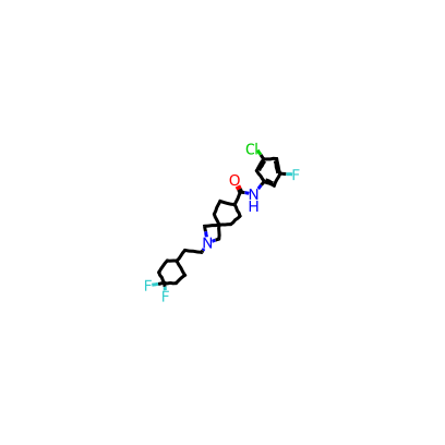 O=C(Nc1cc(F)cc(Cl)c1)C1CCC2(CC1)CN(CCC1CCC(F)(F)CC1)C2